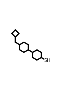 SC1CCC(C2CCC(CC3CCC3)CC2)CC1